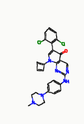 CN1CCN(c2ccc(Nc3ncc4c(=O)c(-c5c(Cl)cccc5Cl)cn(C5=CC=C5)c4n3)cc2)CC1